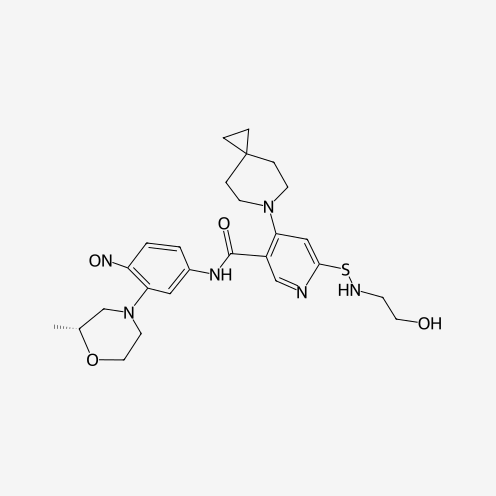 C[C@@H]1CN(c2cc(NC(=O)c3cnc(SNCCO)cc3N3CCC4(CC3)CC4)ccc2N=O)CCO1